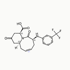 O=C1C[C@@H]2C/C=C\C[C@H](Nc3cccc(C(F)(F)F)c3)C(=O)N2[C@H](C(=O)O)C1